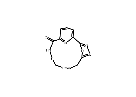 O=C1NCCCCCc2nnc(o2)-c2cccc1n2